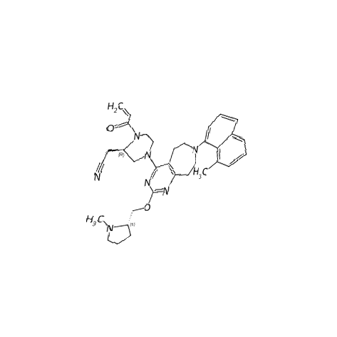 C=CC(=O)N1CCN(c2nc(OC[C@@H]3CCCN3C)nc3c2CCN(c2cccc4cccc(C)c24)CC3)C[C@H]1CC#N